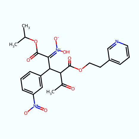 CC(=O)C(C(=O)OCCc1cccnc1)C(C(C(=O)OC(C)C)=[N+]([O-])O)c1cccc([N+](=O)[O-])c1